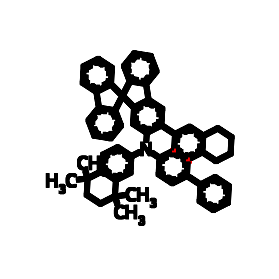 CC1(C)CCC(C)(C)c2cc(N(c3ccc(-c4ccccc4)cc3)c3cc4c(cc3-c3ccc5c(c3)CCCC5)-c3ccccc3C43c4ccccc4-c4ccccc43)ccc21